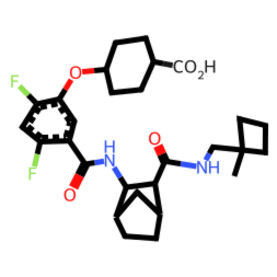 CC1(CNC(=O)C2C3CCC(C3)C2NC(=O)c2cc(OC3CCC(C(=O)O)CC3)c(F)cc2F)CCC1